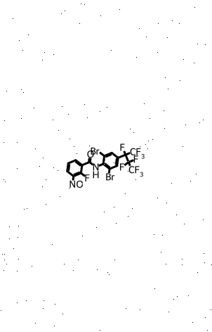 O=Nc1cccc(C(=O)Nc2c(Br)cc(C(F)(C(F)(F)F)C(F)(F)C(F)(F)F)cc2Br)c1F